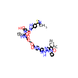 CC(=O)c1c(C)c2cnc(Nc3ccc(N4CCN(C(=O)COCCOCC(=O)NC(C(=O)N5C[C@H](O)C[C@H]5C(=O)NCc5ccc(-c6scnc6C)cc5)C(C)(C)C)CC4)cn3)nc2n(C2CCCC2)c1=O